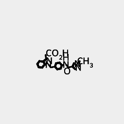 Cn1cc(C(=O)Nc2ccc(Cn3nc(CC(=O)O)c4ccccc43)cc2)cn1